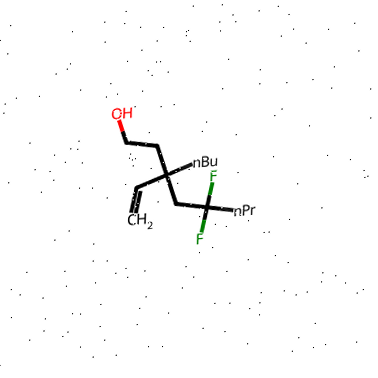 C=CC(CCO)(CCCC)CC(F)(F)CCC